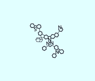 c1ccc(-c2cc(-c3ccc4c5ccccc5n(-c5ccccc5)c4c3)nc(-n3c4cc5c(cc4c4cc6cc(-c7cccnc7)ccc6cc43)-c3cc(-c4cccc6c4sc4ccccc46)ccc3C53C4CC5CC(C4)CC3C5)n2)cc1